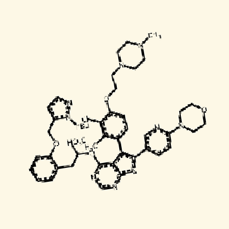 CCCCn1nccc1COc1ccccc1CC(Oc1ncnc2sc(-c3ccc(N4CCOCC4)nc3)c(-c3ccc(OCCN4CCN(C)CC4)c(Cl)c3C)c12)C(=O)O